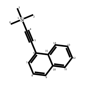 C[Si](C)(C)C#Cc1cccc2ccccc12